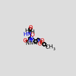 CNC(=O)c1cc(C(=O)NC2[C@H]3COC[C@@H]23)n(Cc2cccc3c2ccn3S(=O)(=O)c2ccc(C)cc2)n1